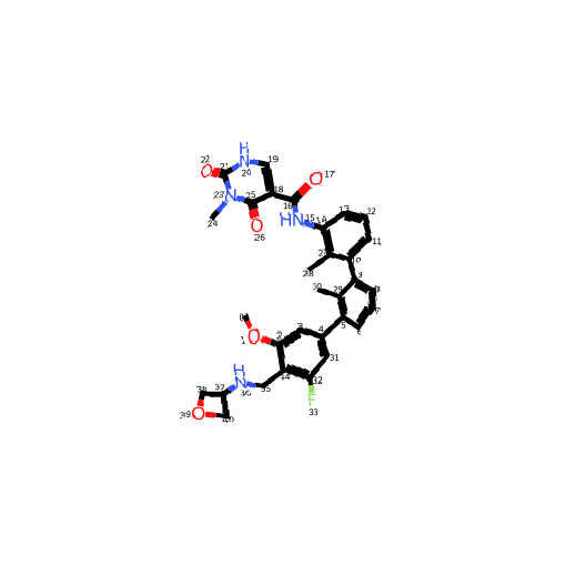 COc1cc(-c2cccc(-c3cccc(NC(=O)c4c[nH]c(=O)n(C)c4=O)c3C)c2C)cc(F)c1CNC1COC1